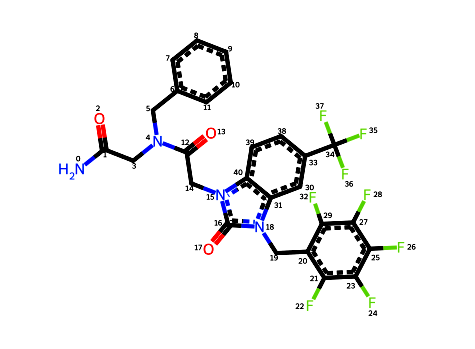 NC(=O)CN(Cc1ccccc1)C(=O)Cn1c(=O)n(Cc2c(F)c(F)c(F)c(F)c2F)c2cc(C(F)(F)F)ccc21